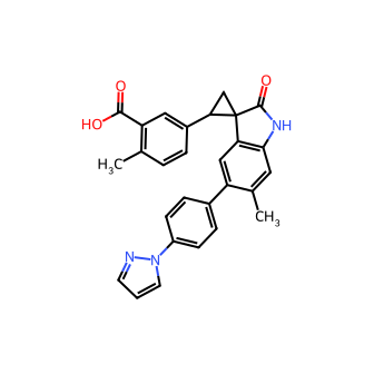 Cc1ccc(C2CC23C(=O)Nc2cc(C)c(-c4ccc(-n5cccn5)cc4)cc23)cc1C(=O)O